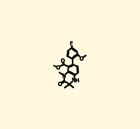 COC(=O)c1c(-c2ccc(F)cc2OC)ccc2c1N(C)C(=O)C(C)(C)N2